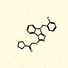 O=C(CSc1nnc2n(Cc3ccccc3F)c3ccccc3n12)N1CCCC1